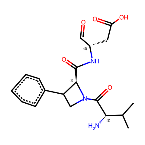 CC(C)[C@H](N)C(=O)N1CC(c2ccccc2)[C@H]1C(=O)N[C@H](C=O)CC(=O)O